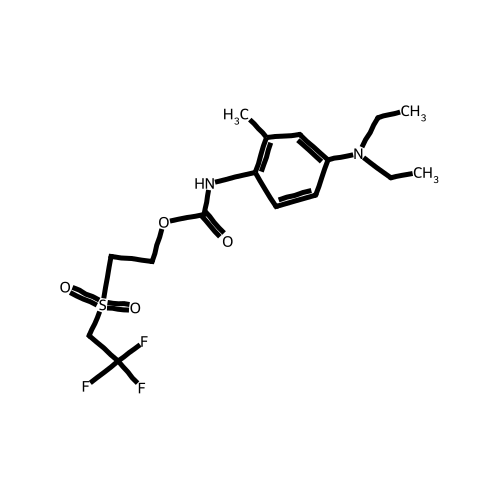 CCN(CC)c1ccc(NC(=O)OCCS(=O)(=O)CC(F)(F)F)c(C)c1